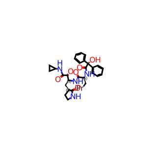 CC(C)C[C@H](NC(=O)C(O)(c1ccccc1)c1ccccc1)C(=O)N[C@@H](C[C@@H]1CCNC1=O)C(=O)C(=O)NC1CC1